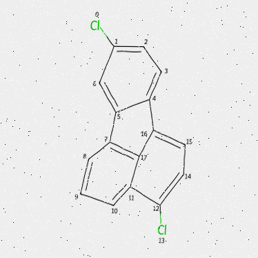 Clc1ccc2c(c1)-c1cccc3c(Cl)ccc-2c13